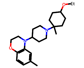 CCOC1CCC(C)(N2CCC(N3CCOc4ccc(C)cc43)CC2)CC1